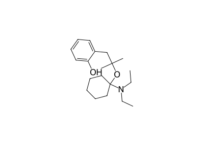 CCN(CC)C1(OC(C)(C)Cc2ccccc2O)CCCCC1